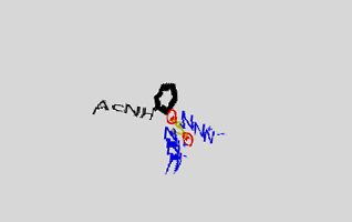 CC(=O)Nc1ccccc1.[N-]=[N+]=NS(=O)(=O)N=[N+]=[N-]